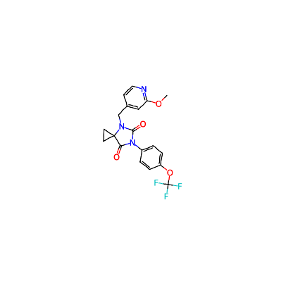 COc1cc(CN2C(=O)N(c3ccc(OC(F)(F)F)cc3)C(=O)C23CC3)ccn1